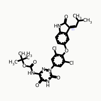 CC(C)/C=C1\C(=O)Nc2ccc(Oc3c(Cl)cc(-n4nc(NC(=O)OC(C)(C)C)c(=O)[nH]c4=O)cc3Cl)cc21